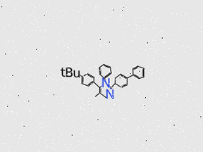 CC1=C(c2ccc(C(C)(C)C)cc2)N(c2ccccc2)C(C2C=CC(c3ccccc3)=CC2)=NC1